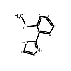 COc1ccccc1-c1nccs1